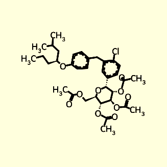 CCC[C@@H](CC(C)C)Oc1ccc(Cc2cc([C@H]3O[C@H](COC(C)=O)[C@@H](OC(C)=O)[C@H](OC(C)=O)[C@H]3OC(C)=O)ccc2Cl)cc1